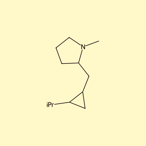 CC(C)C1CC1CC1CCCN1C